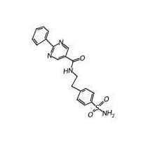 NS(=O)(=O)c1ccc(CCNC(=O)c2cnc(-c3ccccc3)nc2)cc1